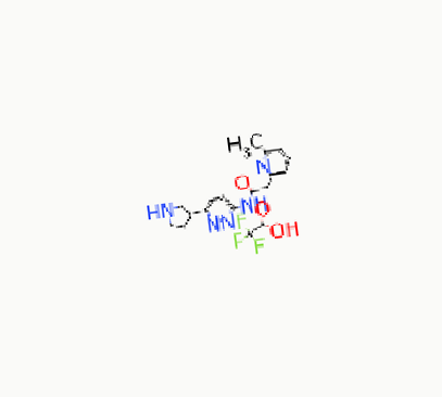 Cc1cccc(CC(=O)Nc2ccc(C3CCNC3)nn2)n1.O=C(O)C(F)(F)F